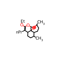 CCCC1=C(OCC)OC2OC3(C)CCC4C(C)CCC1C24OO3